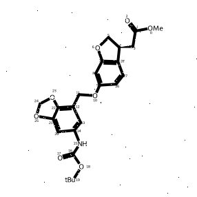 COC(=O)C[C@@H]1COc2cc(OCc3cc(NC(=O)OC(C)(C)C)cc4c3OCO4)ccc21